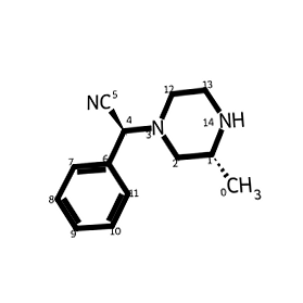 C[C@@H]1CN([C@H](C#N)c2ccccc2)CCN1